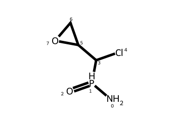 N[PH](=O)C(Cl)C1CO1